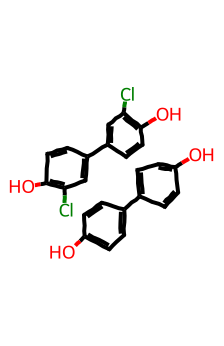 Oc1ccc(-c2ccc(O)c(Cl)c2)cc1Cl.Oc1ccc(-c2ccc(O)cc2)cc1